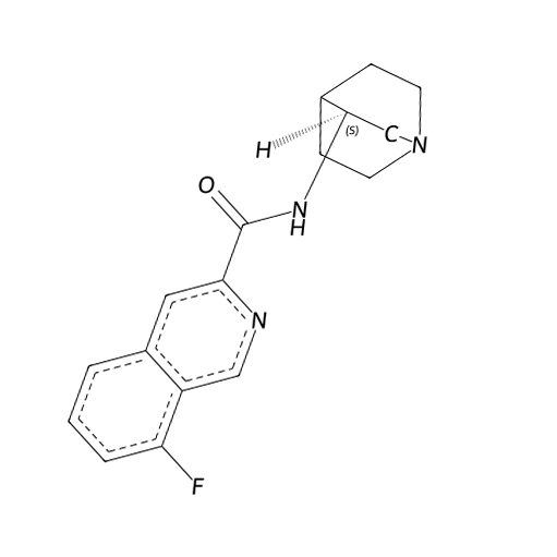 O=C(N[C@@H]1CN2CCC1CC2)c1cc2cccc(F)c2cn1